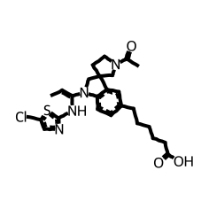 CC=C(Nc1ncc(Cl)s1)N1CC2(CCN(C(C)=O)C2)c2cc(CCCCCC(=O)O)ccc21